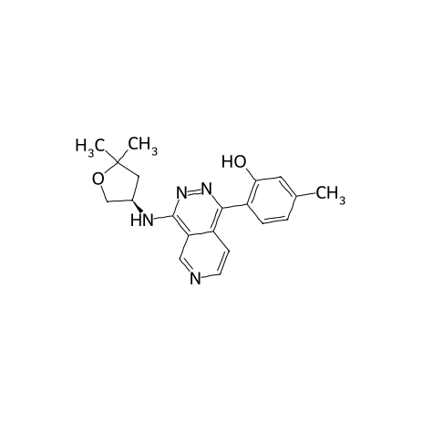 Cc1ccc(-c2nnc(N[C@H]3COC(C)(C)C3)c3cnccc23)c(O)c1